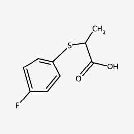 CC(Sc1ccc(F)cc1)C(=O)O